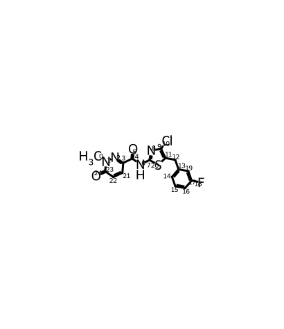 Cn1nc(C(=O)Nc2nc(Cl)c(Cc3cccc(F)c3)s2)ccc1=O